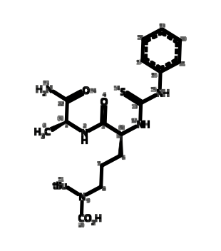 C[C@H](NC(=O)[C@H](CCCN(C(=O)O)C(C)(C)C)NC(=S)Nc1ccccc1)C(N)=O